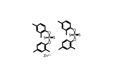 Cc1ccc(OP(=S)([S-])Oc2ccc(C)cc2C)c(C)c1.Cc1ccc(OP(=S)([S-])Oc2ccc(C)cc2C)c(C)c1.[Zn+2]